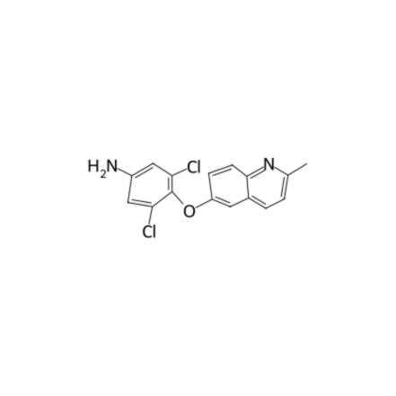 Cc1ccc2cc(Oc3c(Cl)cc(N)cc3Cl)ccc2n1